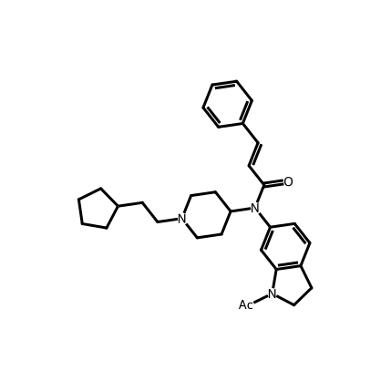 CC(=O)N1CCc2ccc(N(C(=O)C=Cc3ccccc3)C3CCN(CCC4CCCC4)CC3)cc21